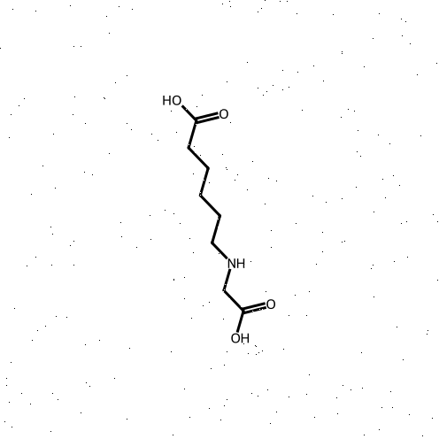 O=C(O)CCCCCNCC(=O)O